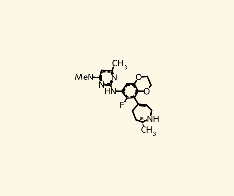 CNc1cc(C)nc(Nc2cc3c(c(C4=CCN[C@H](C)CC4)c2F)OCCO3)n1